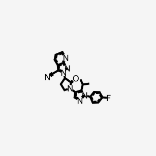 CC(C)c1c(N2CCC(n3nc4ncccc4c3C#N)C2=O)cnn1-c1ccc(F)cc1